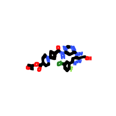 O=C(Nc1cc(Nc2cc(-c3cc(Cl)ccc3F)nnc2CO)ncn1)C1CC(N2CCC(C(=O)OC3COC3)CC2)C1